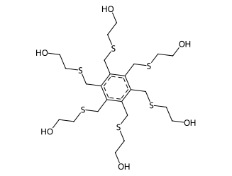 OCCSCc1c(CSCCO)c(CSCCO)c(CSCCO)c(CSCCO)c1CSCCO